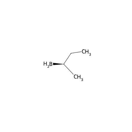 B[C@H](C)CC